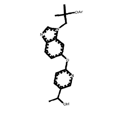 CC(=O)OC(C)(C)Cn1cnc2ccc(Oc3ccc(C(C)O)cn3)cc21